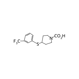 O=C(O)N1CCC(Sc2cccc(C(F)(F)F)c2)CC1